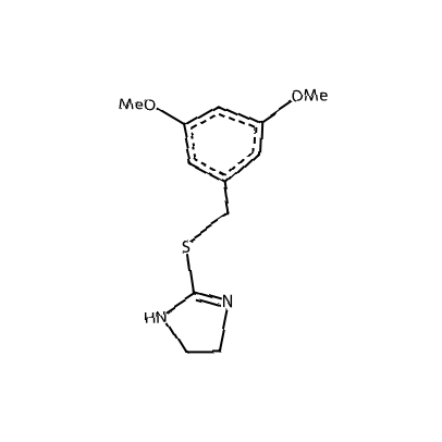 COc1cc(CSC2=NCCN2)cc(OC)c1